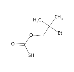 CCC(C)(C)COC(=O)S